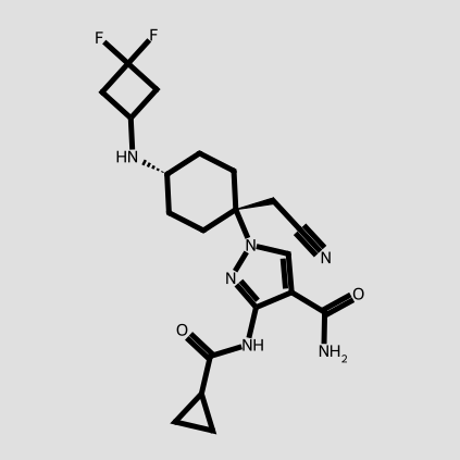 N#CC[C@]1(n2cc(C(N)=O)c(NC(=O)C3CC3)n2)CC[C@@H](NC2CC(F)(F)C2)CC1